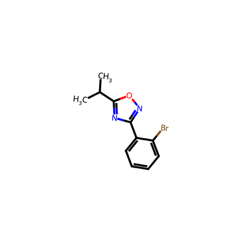 CC(C)c1nc(-c2ccccc2Br)no1